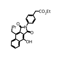 CCOC(=O)Cc1ccc(N2C(=O)c3c(c(CC(C)C)c4ccccc4c3O)C2=O)cc1